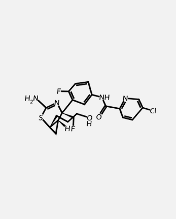 NC1=N[C@](CF)(c2cc(NC(=O)c3ccc(Cl)cn3)ccc2F)[C@@H]2C[C@]2(CCCO)S1